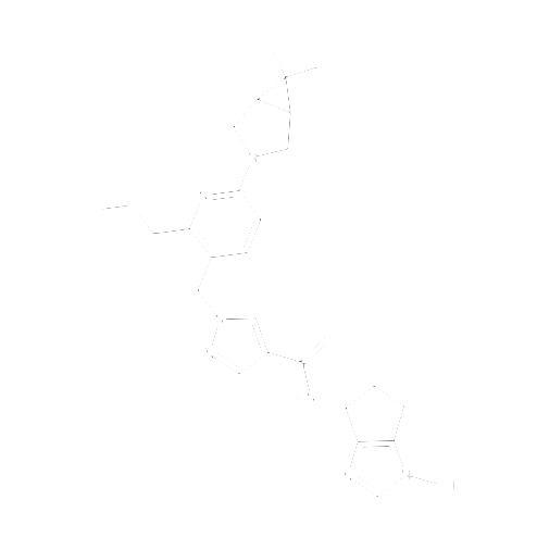 COCc1nc(N2CC3C(C2)C3(F)F)ccc1Cn1cc(C(=O)N[C@@H]2CCc3c2ncn3C)cn1